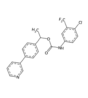 CC(OC(=O)Nc1ccc(Cl)c(C(F)(F)F)c1)c1ccc(-c2cccnc2)cc1